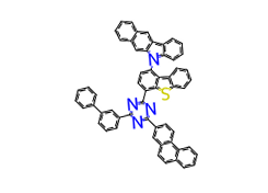 c1ccc(-c2cccc(-c3nc(-c4ccc5c(ccc6ccccc65)c4)nc(-c4ccc(-n5c6ccccc6c6cc7ccccc7cc65)c5c4sc4ccccc45)n3)c2)cc1